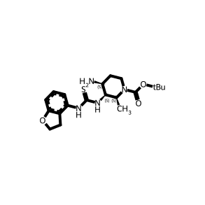 C[C@H]1[C@@H](NC(=S)Nc2cccc3c2CCO3)[C@@H](N)CCN1C(=O)OC(C)(C)C